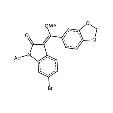 COC(=C1C(=O)N(C(C)=O)c2cc(Br)ccc21)c1ccc2c(c1)OCO2